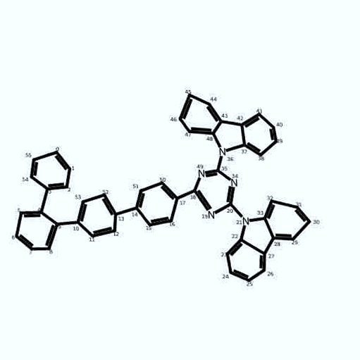 c1ccc(-c2ccccc2-c2ccc(-c3ccc(-c4nc(-n5c6ccccc6c6ccccc65)nc(-n5c6ccccc6c6ccccc65)n4)cc3)cc2)cc1